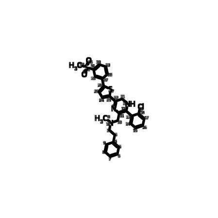 CN(CCc1ccccc1)CC1=C(c2ccccc2Cl)NCC(c2ccc(-c3cccc(S(C)(=O)=O)c3)s2)=N1